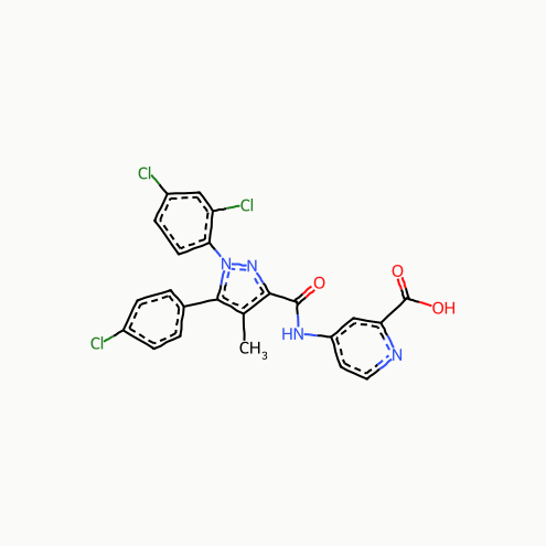 Cc1c(C(=O)Nc2ccnc(C(=O)O)c2)nn(-c2ccc(Cl)cc2Cl)c1-c1ccc(Cl)cc1